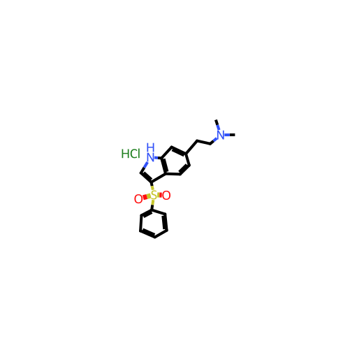 CN(C)CCc1ccc2c(S(=O)(=O)c3ccccc3)c[nH]c2c1.Cl